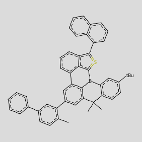 Cc1ccc(-c2ccccc2)cc1-c1cc2c3c(c1)C(C)(C)c1ccc(C(C)(C)C)cc1B3c1sc(-c3cccc4ccccc34)c3cccc-2c13